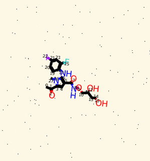 CC(=O)c1cc(C(=O)NOC[C@H](O)CCO)c(Nc2ccc(I)cc2F)n1C